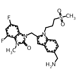 Cn1c(=O)n(Cc2cc3cc(CN)ccc3n2CCCS(C)(=O)=O)c2cc(F)cc(F)c21